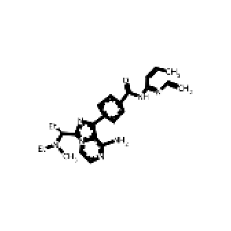 C=C/N=C(\C=C/C)NC(=O)c1ccc(-c2nc([C@H](CC)N(C)CC)n3ccnc(N)c23)cc1